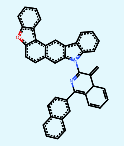 C=C1C(n2c3ccccc3c3cc4c(ccc5oc6ccccc6c54)cc32)=NC(c2ccc3ccccc3c2)=C2C=CC=CC12